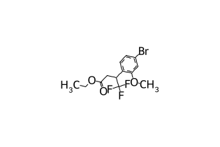 CCOC(=O)CC(c1ccc(Br)cc1OC)C(F)(F)F